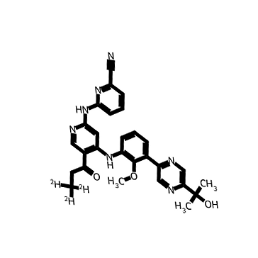 [2H]C([2H])([2H])CC(=O)c1cnc(Nc2cccc(C#N)n2)cc1Nc1cccc(-c2cnc(C(C)(C)O)cn2)c1OC